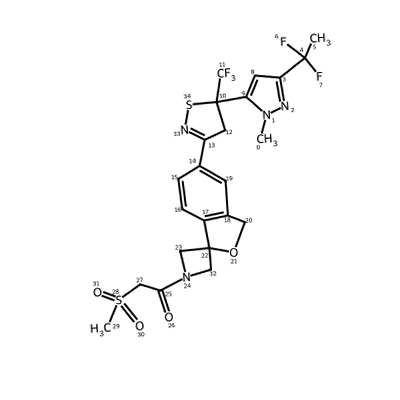 Cn1nc(C(C)(F)F)cc1C1(C(F)(F)F)CC(c2ccc3c(c2)COC32CN(C(=O)CS(C)(=O)=O)C2)=NS1